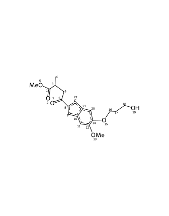 COC(=O)C(C)CC(=O)c1cc2cc(OC)c(OCCCO)cc2s1